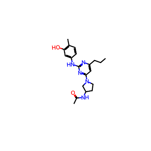 CCCc1cc(N2CCC(NC(C)=O)C2)nc(Nc2ccc(C)c(O)c2)n1